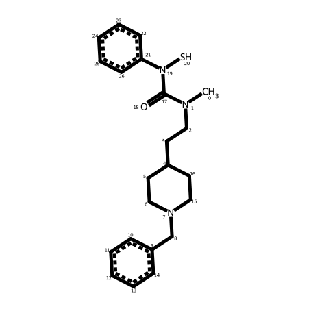 CN(CCC1CCN(Cc2ccccc2)CC1)C(=O)N(S)c1ccccc1